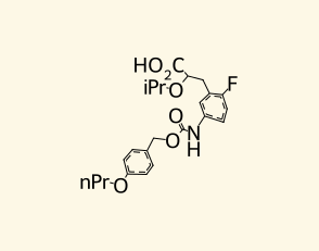 CCCOc1ccc(COC(=O)Nc2ccc(F)c(CC(OC(C)C)C(=O)O)c2)cc1